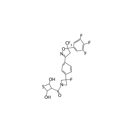 O=C(C1C(O)SC1O)N1CC(F)(c2ccc(C3=NOC(c4cc(F)c(F)c(F)c4)(C(F)(F)F)C3)cc2)C1